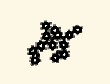 c1ccc(-c2ccc(N(c3ccc(-c4cccc5c4oc4ccccc45)cc3)c3cc(Oc4ccccc4N(c4ccc(-c5ccccc5)cc4)c4ccc(-c5cccc6c5oc5ccccc56)cc4)c4ccccc4c3)cc2)cc1